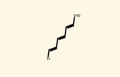 CCC=CC=C/C=C/C=O